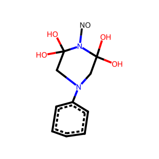 O=NN1C(O)(O)CN(c2ccccc2)CC1(O)O